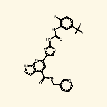 O=C(Nc1ncc(-c2cc(C(=O)NCc3cccnc3)c3cn[nH]c3n2)s1)Nc1cc(C(F)(F)F)ccc1F